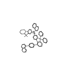 CC1(C)c2cc(N(c3ccc4c(c3)C(c3ccccc3)(c3ccccc3)c3cccc(-c5ccc(-c6cccc7ccccc67)cc5)c3-4)c3cccc4ccccc34)ccc2C2CCCCC21